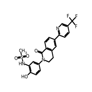 CS(=O)(=O)Nc1cc(N2CCc3cc(-c4ccc(C(F)(F)F)cn4)ccc3C2=O)ccc1O